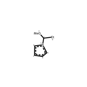 CCC(OC)n1cccc1